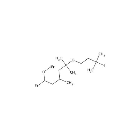 CCC(CC(C)CC(C)(C)OCCC(C)(C)I)OC(C)C